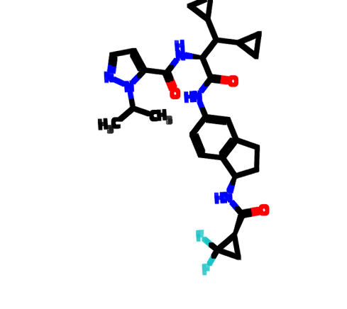 CC(C)n1nccc1C(=O)N[C@H](C(=O)Nc1ccc2c(c1)CC[C@H]2NC(=O)[C@H]1CC1(F)F)C(C1CC1)C1CC1